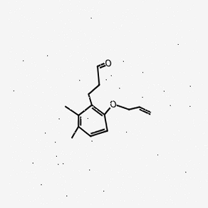 C=CCOc1ccc(C)c(C)c1CCC=O